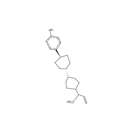 C=CC(C(=O)O)C1CCC([C@H]2CC[C@H](c3ccc(CCC)cc3)CC2)CC1